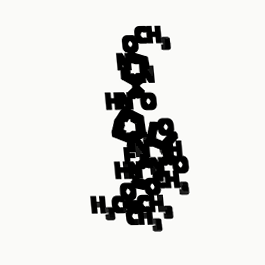 COc1cnc(C(=O)Nc2ccc(F)c([C@]34COC[C@H]3C(=O)N(C)C(NC(=O)OC(C)(C)C)=N4)c2)cn1